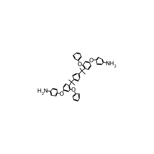 CC(C)(c1ccc(C(C)(C)c2ccc(Oc3ccc(N)cc3)cc2Oc2ccccc2)cc1)c1ccc(Oc2ccc(N)cc2)cc1Oc1ccccc1